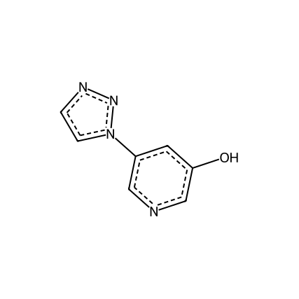 Oc1cncc(-n2ccnn2)c1